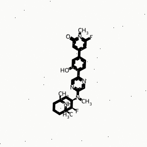 CN(c1cnc(-c2ccc(-c3cc(F)n(C)c(=O)c3)cc2O)cn1)[C@@H]1C[C@@]2(C)CCC[C@](C)(N2)[C@@H]1F